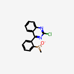 C[S+]([O-])c1ccccc1-c1nc(Cl)nc2ccccc12